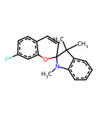 CN1c2ccccc2C(C)(C)C12C=Cc1ccc(F)cc1O2